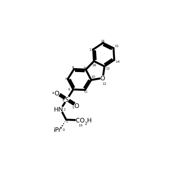 CC(C)[C@H](NS(=O)(=O)c1ccc2c(c1)oc1ccccc12)C(=O)O